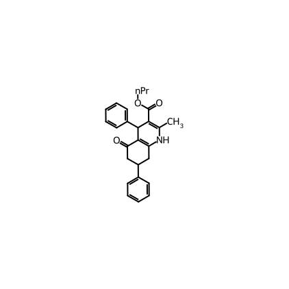 CCCOC(=O)C1=C(C)NC2=C(C(=O)CC(c3ccccc3)C2)C1c1ccccc1